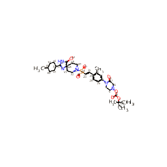 Cc1cc(N2CCN(OC(=O)OC(C)(C)C)CC2=O)ccc1/C=C/S(=O)(=O)N1CCC2(CC1)N=C(C1CCC(C)CC1)NC2=O